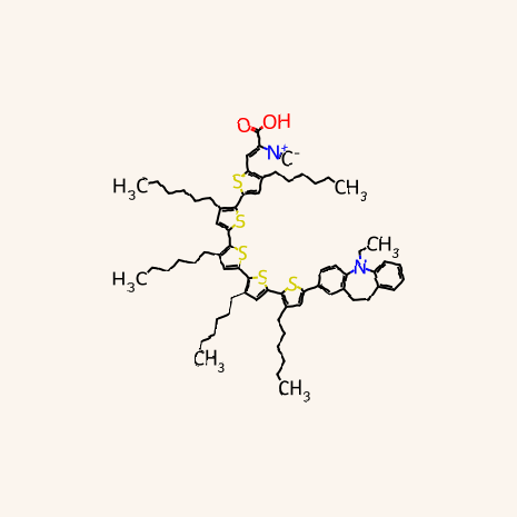 [C-]#[N+]/C(=C\c1sc(-c2sc(-c3sc(-c4sc(-c5sc(-c6ccc7c(c6)CCc6ccccc6N7CC)cc5CCCCCC)cc4CCCCCC)cc3CCCCCC)cc2CCCCCC)cc1CCCCCC)C(=O)O